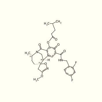 COC1=NO[C@@]2(CC[C@H](C)N3C[C@H]2n2cc(C(=O)NCc4ccc(F)cc4F)c(=O)c(OC(=O)CCC(C)C)c2C3=O)C1